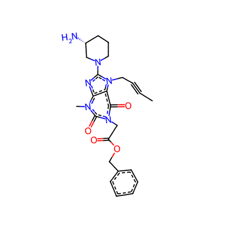 CC#CCn1c(N2CCC[C@@H](N)C2)nc2c1c(=O)n(CC(=O)OCc1ccccc1)c(=O)n2C